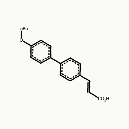 CCCCOc1ccc(-c2ccc(C=CC(=O)O)cc2)cc1